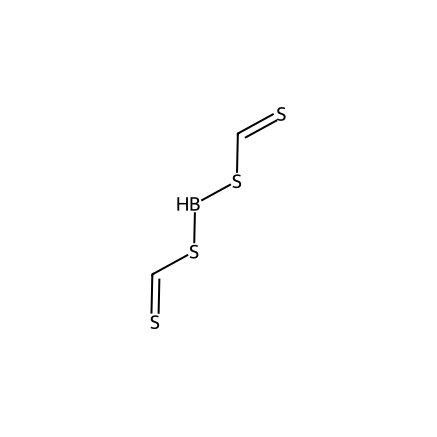 S=CSBSC=S